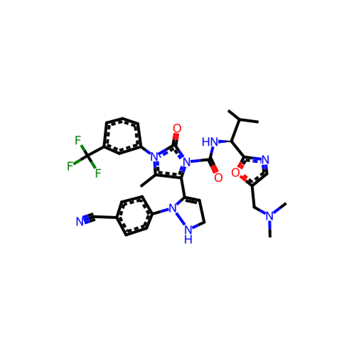 Cc1c(C2=CCNN2c2ccc(C#N)cc2)n(C(=O)N[C@H](c2ncc(CN(C)C)o2)C(C)C)c(=O)n1-c1cccc(C(F)(F)F)c1